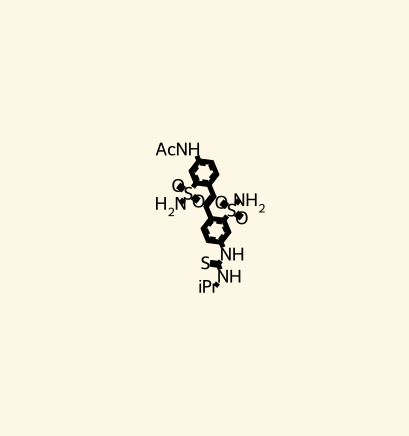 CC(=O)Nc1ccc(C=Cc2ccc(NC(=S)NC(C)C)cc2S(N)(=O)=O)c(S(N)(=O)=O)c1